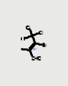 C/C(C=O)=C(/Br)C(Cl)(Cl)Cl